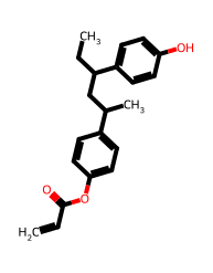 C=CC(=O)Oc1ccc(C(C)CC(CC)c2ccc(O)cc2)cc1